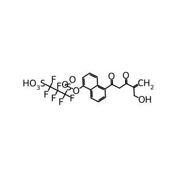 C=C(CO)C(=O)CC(=O)c1cccc2c(OS(=O)(=O)C(F)(F)C(F)(F)C(F)(F)S(=O)(=O)O)cccc12